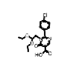 CCOC(Cn1c(-c2ccc(Cl)cc2)ncc(C(=O)O)c1=O)OCC